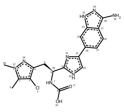 Cc1c(Cl)c(C[C@H](NC(=O)O)c2nc(-c3ccc4c(N)n[nH]c4c3)c[nH]2)nn1C